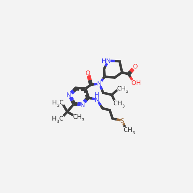 CSCCCNc1nc(C(C)(C)C)ncc1C(=O)N(CC(C)C)C1CNCC(C(=O)O)C1